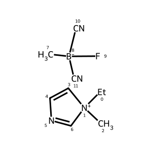 CC[N+]1(C)C=CN=C1.C[B-](F)(C#N)C#N